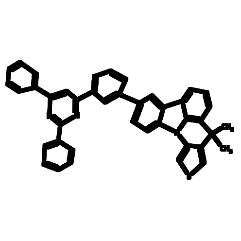 CC1(C)c2cscc2-n2c3ccc(-c4cccc(-c5cc(-c6ccccc6)nc(-c6ccccc6)n5)c4)cc3c3cccc1c32